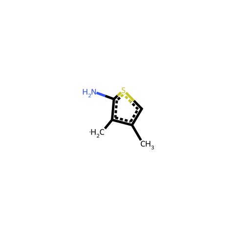 [CH2]c1c(C)csc1N